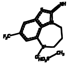 CS(=O)(=O)O.N=c1sc2cc(C(F)(F)F)cc3c2n1CCC[S+]3[O-]